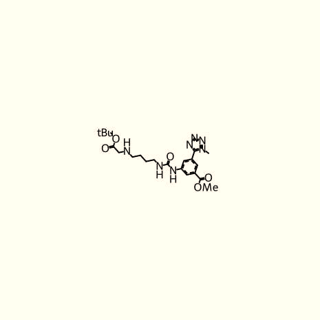 COC(=O)c1cc(NC(=O)NCCCCNCC(=O)OC(C)(C)C)cc(-c2nnnn2C)c1